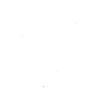 N#Cc1ccc(-c2ccccc2)cc1OCCCN1CC[C@@H](O)C1